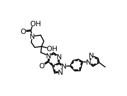 Cc1cnn(-c2ccc(-n3ncc4c(=O)n(CC5(O)CCN(C(=O)O)CC5)cnc43)cc2)c1